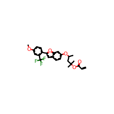 C=CC(=O)OC(C)(C)CC(C)Oc1ccc2cc(-c3ccc(OC)cc3C(F)(F)F)oc2c1